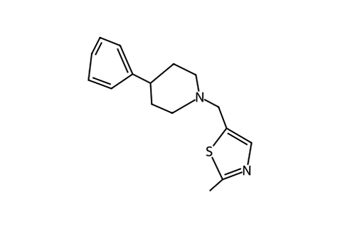 Cc1ncc(CN2CCC(c3ccccc3)CC2)s1